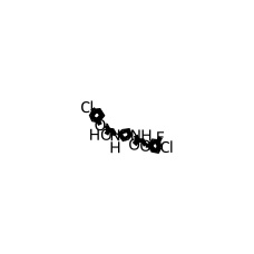 O=C(COc1ccc(Cl)c(F)c1)N[C@H]1CC[C@H](NCC(O)COc2ccc(Cl)cc2)CC1